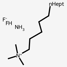 CCCCCCCCCCCC[N+](C)(C)C.F.N.[F-]